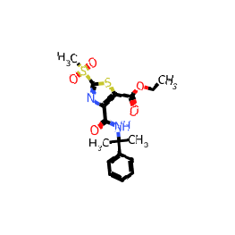 CCOC(=O)c1sc(S(C)(=O)=O)nc1C(=O)NC(C)(C)c1ccccc1